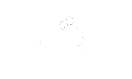 CCCC(Cc1ccc2c(F)ccc(N3CCC(NC(=O)OC(C)(C)C)C(F)C3)c2n1)OC